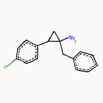 NC1(Cc2ccccc2)CC1c1ccc(Cl)cc1